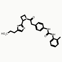 Cc1ccccc1NC(=O)Nc1ccc(CC(=O)N2CCC2c2ncc(CCC(=O)O)s2)cc1